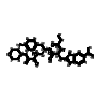 C=C(CN1CCOCC1)C(=O)NC[C@H](Cc1ccc(F)cc1)NC(=O)[C@H](Cc1nc2ccc(C(C)C)cc2s1)NC(=O)CC